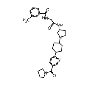 O=C(CNC(=O)c1cccc(C(F)(F)F)c1)N[C@@H]1CCN(C2CCC(c3ccc(C(=O)N4CCCC4)cn3)CC2)C1